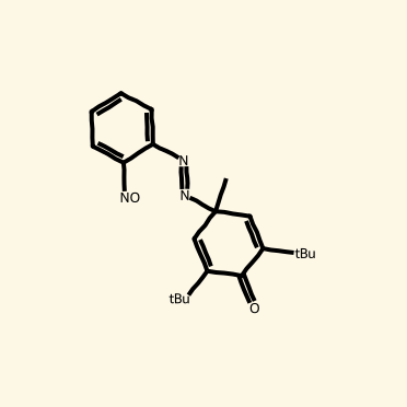 CC1(N=Nc2ccccc2N=O)C=C(C(C)(C)C)C(=O)C(C(C)(C)C)=C1